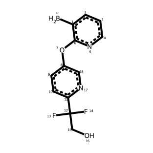 Bc1cccnc1Oc1ccc(C(F)(F)CO)nc1